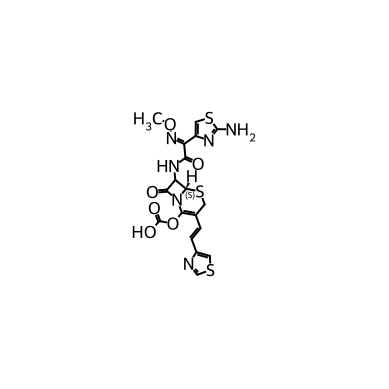 CON=C(C(=O)NC1C(=O)N2C(OC(=O)O)=C(C=Cc3cscn3)CS[C@@H]12)c1csc(N)n1